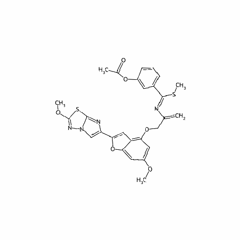 C=C(COc1cc(OC)cc2oc(-c3cn4nc(OC)sc4n3)cc12)/N=C(\SC)c1cccc(OC(C)=O)c1